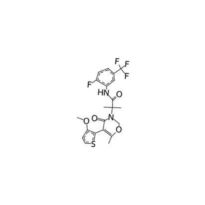 COc1ccsc1C1=C(C)OCN(C(C)(C)C(=O)Nc2cc(C(F)(F)F)ccc2F)C1=O